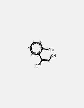 N#C/C=C(/Cl)c1ccccc1Cl